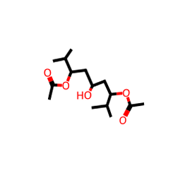 CC(=O)OC(CC(O)CC(OC(C)=O)C(C)C)C(C)C